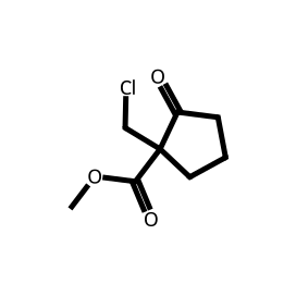 COC(=O)C1(CCl)CCCC1=O